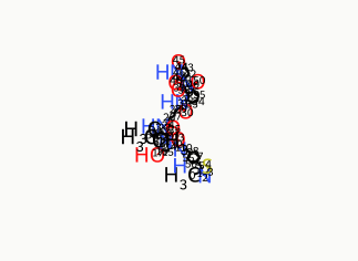 Cc1ncsc1-c1ccc(CNC(=O)[C@@H]2C[C@@H](O)CN2C(=O)[C@@H](NC(=O)CCCC(=O)Nc2cccc3c2C(=O)N(C2CCC(=O)NC2=O)C3=O)C(C)(C)C)cc1